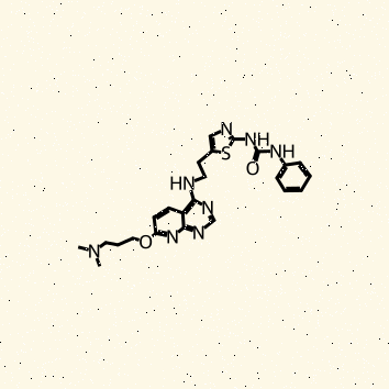 CN(C)CCCOc1ccc2c(NCCc3cnc(NC(=O)Nc4ccccc4)s3)ncnc2n1